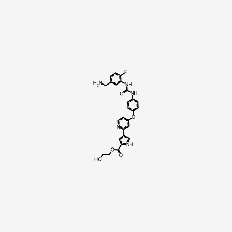 NCc1ccc(F)c(NC(=O)Nc2ccc(Oc3ccnc(-c4c[nH]c(C(=O)OCCO)c4)c3)cc2)c1